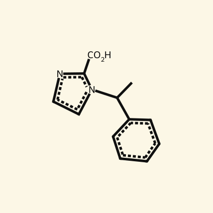 CC(c1ccccc1)n1ccnc1C(=O)O